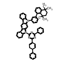 CC1(C)CCC(C)(C)c2c(-c3cccc(-n4c5ccccc5c5cc6c7ccccc7n(-c7nc(C8=CCC(c9ccccc9)C=C8)nc(-c8ccccc8)n7)c6cc54)c3)cccc21